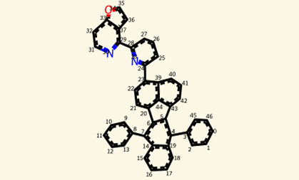 c1ccc(-c2c3c(c(-c4ccccc4)c4ccccc24)-c2ccc(-c4cccc(-c5nccc6occc56)n4)c4cccc-3c24)cc1